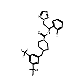 O=C(OC(Cn1ncnn1)c1ccccc1Cl)N1CCC(Cc2cc(C(F)(F)F)cc(C(F)(F)F)c2)CC1